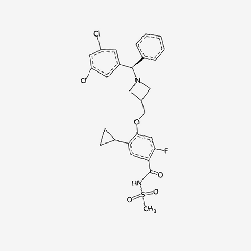 CS(=O)(=O)NC(=O)c1cc(C2CC2)c(OCC2CN([C@H](c3ccccc3)c3cc(Cl)cc(Cl)c3)C2)cc1F